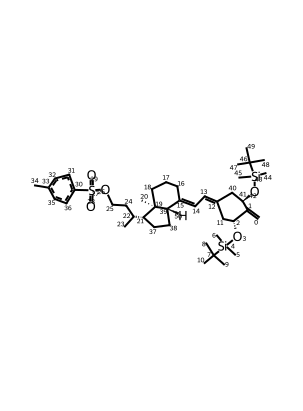 C=C1[C@H](O[Si](C)(C)C(C)(C)C)CC(=C/C=C2\CCC[C@]3(C)[C@@H](C(C)CCOS(=O)(=O)c4ccc(C)cc4)CC[C@@H]23)C[C@H]1O[Si](C)(C)C(C)(C)C